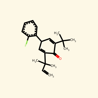 C=CC(C)(C)C1=CC(c2ccccc2F)C=C(C(C)(C)C)C1=O